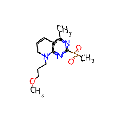 COCCCN1CC=Cc2c(C)nc(S(C)(=O)=O)nc21